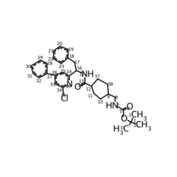 CC(C)(C)OC(=O)NCC1CCC(C(=O)NC(Cc2ccccc2)c2cc(-c3ccccc3)cc(Cl)n2)CC1